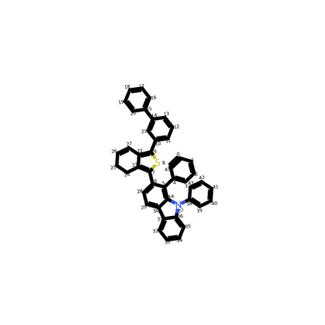 c1cccc(-c2c(-c3sc(-c4cccc(-c5ccccc5)c4)c4c3CCC=C4)ccc3c4ccccc4n(-c4ccccc4)c23)c#1